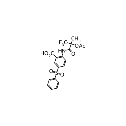 CC(=O)OC(C)(C(=O)Nc1ccc(S(=O)(=O)c2ccccc2)cc1C(=O)O)C(F)(F)F